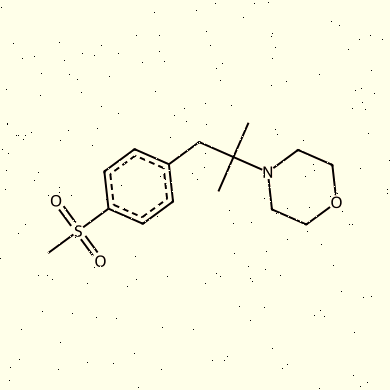 CC(C)(Cc1ccc(S(C)(=O)=O)cc1)N1CCOCC1